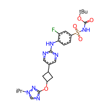 CC(C)n1cnc(OC2CC(c3cnc(Nc4ccc(S(=O)(=O)NC(=O)OC(C)(C)C)cc4F)nc3)C2)n1